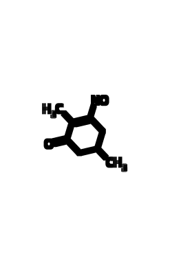 CC1=C(N=O)CC(C)CC1=O